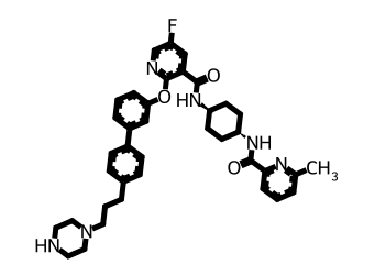 Cc1cccc(C(=O)N[C@H]2CC[C@H](NC(=O)c3cc(F)cnc3Oc3cccc(-c4ccc(CCCN5CCNCC5)cc4)c3)CC2)n1